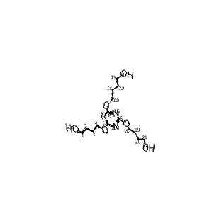 OCCCCOc1nc(OCCCCO)nc(OCCCCO)n1